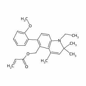 C=CC(=O)OCc1c(-c2ccccc2OC)ccc2c1C(C)=CC(C)(C)N2CC